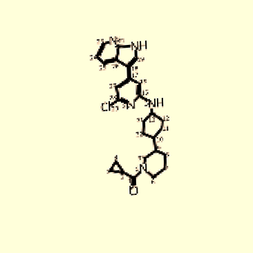 O=C(C1CC1)N1CCCC(C2CCC(Nc3cc(-c4c[nH]c5ncccc45)cc(Cl)n3)CC2)C1